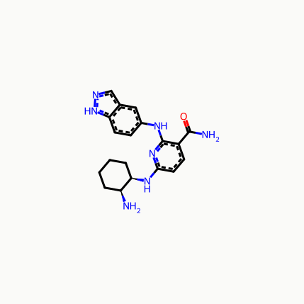 NC(=O)c1ccc(N[C@@H]2CCCC[C@@H]2N)nc1Nc1ccc2[nH]ncc2c1